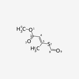 COC(=O)/C=C(\C)SC=O